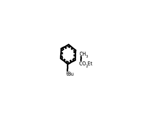 CC(C)(C)c1ccccc1.CCOC(C)=O